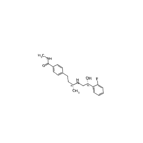 CNC(=O)c1ccc(CC[C@@H](C)NC[C@H](O)c2ccccc2F)cc1